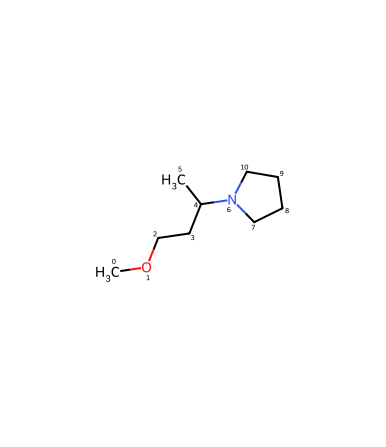 COCCC(C)N1CCCC1